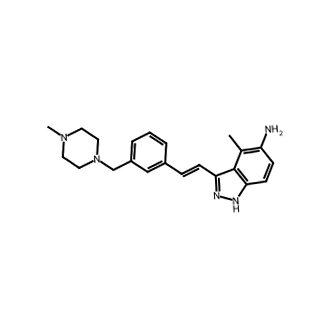 Cc1c(N)ccc2[nH]nc(C=Cc3cccc(CN4CCN(C)CC4)c3)c12